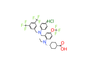 CCN(C[C@H]1CC[C@H](C(=O)O)CC1)c1ccc(OC(F)(F)F)cc1CN(Cc1cc(C(F)(F)F)cc(C(F)(F)F)c1)c1ccc(C)cc1.Cl